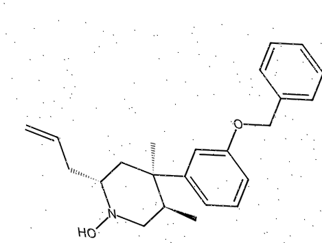 C=CC[C@@H]1C[C@@](C)(c2cccc(OCc3ccccc3)c2)[C@@H](C)CN1O